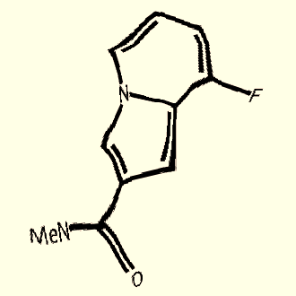 CNC(=O)c1cc2c(F)cccn2c1